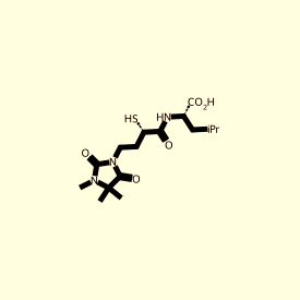 CC(C)C[C@H](NC(=O)[C@@H](S)CCN1C(=O)N(C)C(C)(C)C1=O)C(=O)O